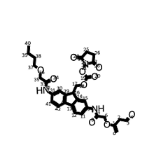 C=C(CC=O)OCC(=O)Nc1ccc2c(c1)C(COC(=O)ON1C(=O)CCC1=O)c1cc(NC(=O)COCCCC)ccc1-2